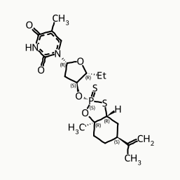 C=C(C)[C@H]1CC[C@@]2(C)O[P@](=S)(O[C@H]3C[C@H](n4cc(C)c(=O)[nH]c4=O)O[C@@H]3CC)S[C@@H]2C1